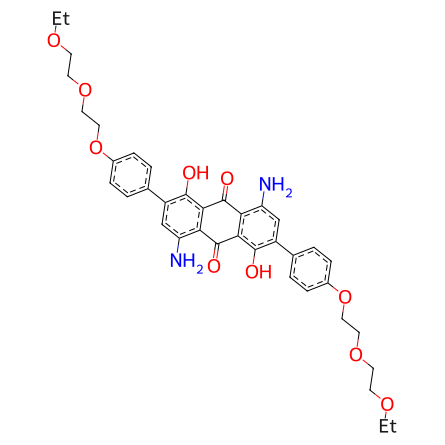 CCOCCOCCOc1ccc(-c2cc(N)c3c(c2O)C(=O)c2c(N)cc(-c4ccc(OCCOCCOCC)cc4)c(O)c2C3=O)cc1